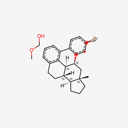 COCO.COCO[C@H]1C[C@]2(C)CCC[C@H]2[C@@H]2CCc3cccc(-c4ccc(Br)cc4)c3[C@H]21